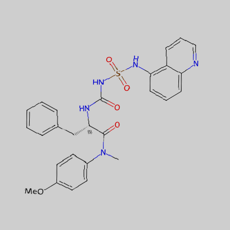 COc1ccc(N(C)C(=O)[C@H](Cc2ccccc2)NC(=O)NS(=O)(=O)Nc2cccc3ncccc23)cc1